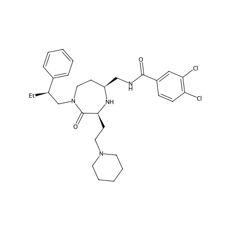 CC[C@H](CN1CC[C@@H](CNC(=O)c2ccc(Cl)c(Cl)c2)N[C@@H](CCN2CCCCC2)C1=O)c1ccccc1